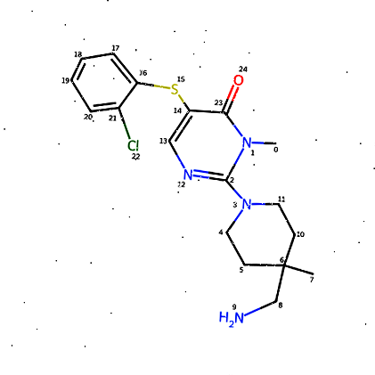 Cn1c(N2CCC(C)(CN)CC2)ncc(Sc2ccccc2Cl)c1=O